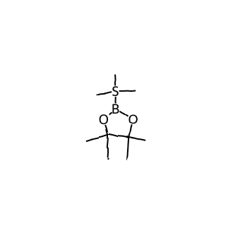 CC1(C)OB(S(C)(C)C)OC1(C)C